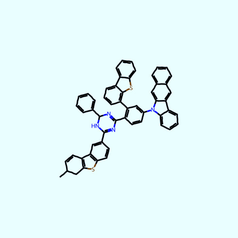 CC1C=Cc2c(sc3ccc(C4=NC(c5ccc(-n6c7ccccc7c7cc8ccccc8cc76)cc5-c5cccc6c5sc5ccccc56)=NC(c5ccccc5)N4)cc23)C1